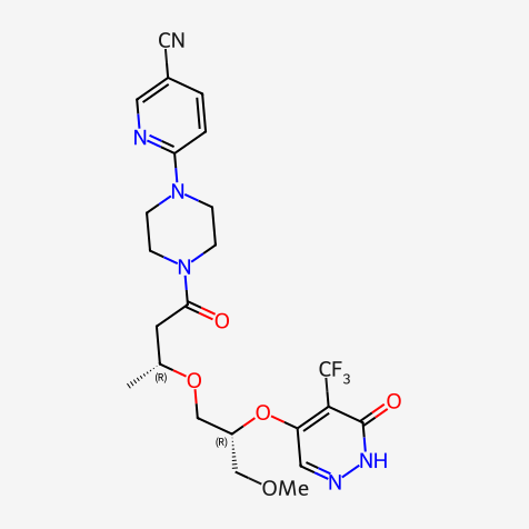 COC[C@H](CO[C@H](C)CC(=O)N1CCN(c2ccc(C#N)cn2)CC1)Oc1cn[nH]c(=O)c1C(F)(F)F